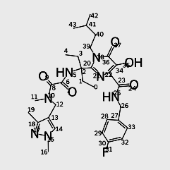 CCC(CC)(NC(=O)C(=O)N(C)Cc1cn(C)nc1C)c1nc(C(=O)NCc2ccc(F)cc2)c(O)c(=O)n1CCC(C)C